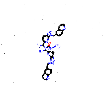 NNC(=O)N(C(N)c1ccc2nnn(Cc3ccc4ncccc4c3)c2n1)C(N)c1ccc2nnn(Cc3ccc4ncccc4c3)c2n1